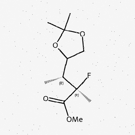 COC(=O)[C@](C)(F)[C@H](C)C1COC(C)(C)O1